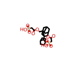 O=C(CS(=O)(=O)O)OCC12CC3CC(C1)CC(C1C4CCC1C(OC(=O)CS(=O)(=O)O)C4)(C3)C2